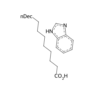 CCCCCCCCCCCCCCCCCC(=O)O.c1ccc2[nH]cnc2c1